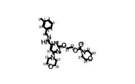 Cc1cccc(/C=N/Nc2cc(N3CCOCC3)nc(OCCOC(=O)N3CCOCC3)n2)c1